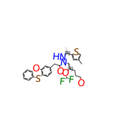 Cc1csc([C@@H](C)NN(C[C@@H](CCC=O)OC(F)F)C(=O)Cc2ccc3c(c2)Oc2ccccc2S3)c1